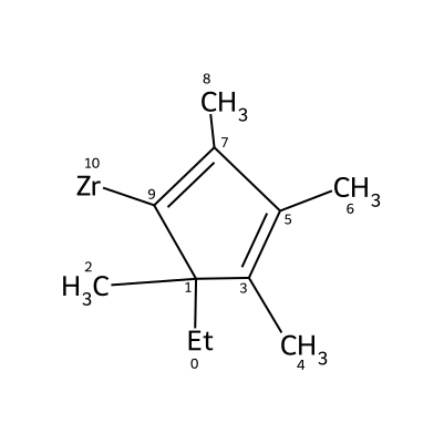 CCC1(C)C(C)=C(C)C(C)=[C]1[Zr]